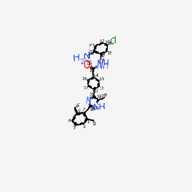 Cc1cccc(C)c1-c1nc(-c2ccc(C(=O)Nc3cc(Cl)ccc3N)cc2)c(C)[nH]1